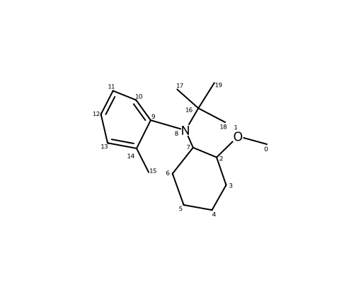 COC1CCCCC1N(c1ccccc1C)C(C)(C)C